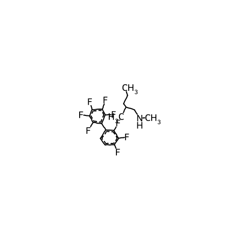 CCCC(C)CNC.Fc1ccc(-c2c(F)c(F)c(F)c(F)c2F)c(F)c1F